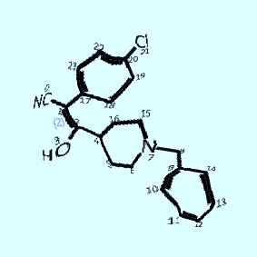 N#C/C(=C(\O)C1CCN(Cc2ccccc2)CC1)c1ccc(Cl)cc1